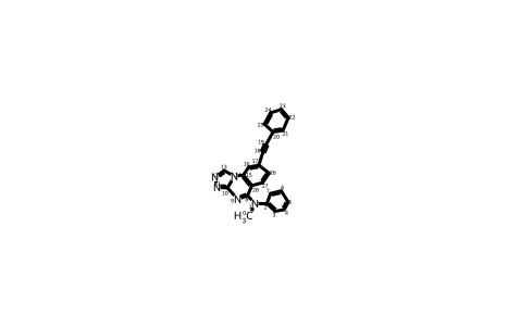 CN(c1ccccc1)c1nc2nncn2c2cc(C#Cc3ccccc3)ccc12